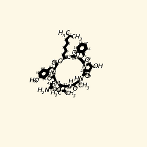 CC(C)CCCCCC1CC(=O)N[C@H](Cc2ccccc2)C(=O)N2C[C@H](O)C[C@H]2C(=O)N[C@H](C)C(=O)N[C@@H](C(C)C)C(=O)N[C@H](CC(N)=O)C(=O)N[C@@H](Cc2ccc(O)cc2)C(=O)O1